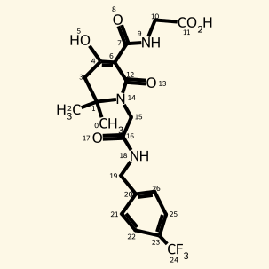 CC1(C)CC(O)=C(C(=O)NCC(=O)O)C(=O)N1CC(=O)NCc1ccc(C(F)(F)F)cc1